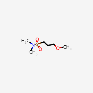 COCCCS(=O)(=O)N(C)C